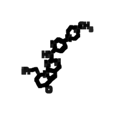 CC(C)C[C@@H]1CCC(=O)c2cc3cnc(Nc4ccc(N5CCN(C)CC5)cn4)nc3n21